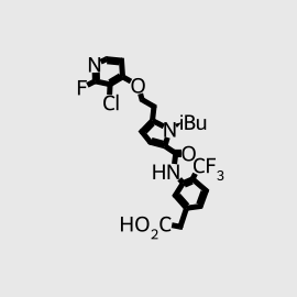 CC[C@H](C)n1c(CCOc2ccnc(F)c2Cl)ccc1C(=O)Nc1cc(CC(=O)O)ccc1C(F)(F)F